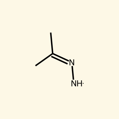 CC(C)=N[NH]